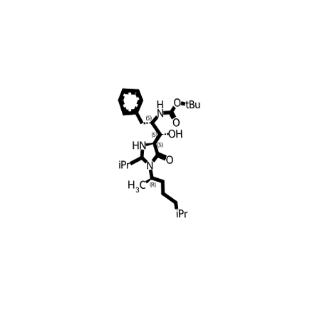 CC(C)CCC[C@@H](C)N1C(=O)[C@H]([C@@H](O)[C@H](Cc2ccccc2)NC(=O)OC(C)(C)C)NC1C(C)C